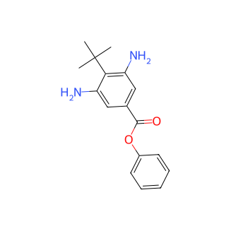 CC(C)(C)c1c(N)cc(C(=O)Oc2ccccc2)cc1N